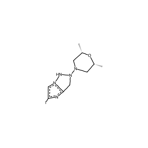 C[C@@H]1CN(N2Cc3nc(I)cn3N2)C[C@H](C)O1